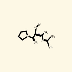 C=C(/C(SC(C)=O)=C(/C)N=C(C)C)N1CCCC1